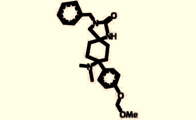 COCOc1ccc(C2(N(C)C)CCC3(CC2)CN(Cc2ccccc2)C(=O)N3)cc1